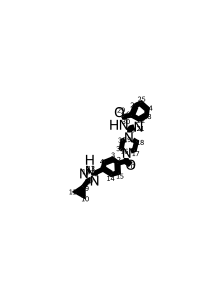 O=C(c1ccc(-c2nc(C3CC3)n[nH]2)cc1)N1CCN(c2nc3ccccc3c(=O)[nH]2)CC1